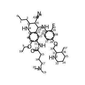 CCCC1Nc2cc(OCC)c(NC(=O)CCCN(C)C)cc2C(Nc2ccc(OCC3NCCCC3C)cc2F)C1C#N